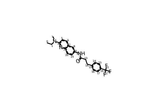 CCN(C)c1ccc2cc(NC(=O)CCc3ccc(C(F)(F)F)cc3)ccc2n1